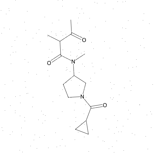 CC(=O)C(C)C(=O)N(C)C1CCN(C(=O)C2CC2)C1